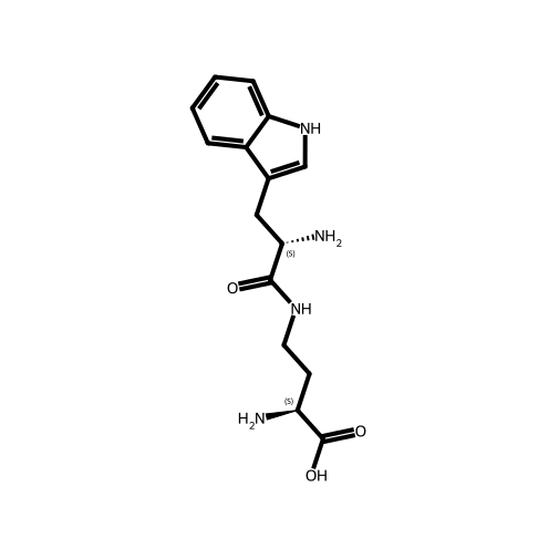 N[C@@H](CCNC(=O)[C@@H](N)Cc1c[nH]c2ccccc12)C(=O)O